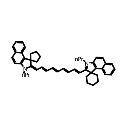 CCCN1/C(=C/C=C/C=C/C=C/C=C/C2=[N+](CCC)c3ccc4ccccc4c3C23CCCCC3)C2(CCCC2)c2c1ccc1ccccc21